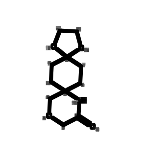 O=C1COCC2(CCC3(CC2)OCCO3)N1